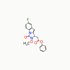 CON1C(=O)n2c(cc3cc(F)ccc32)C1CC(=O)Oc1ccccc1